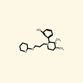 C[C@H]1CCN(CCCOC2CCCCO2)C(c2cccc(O)c2)[C@@H]1C